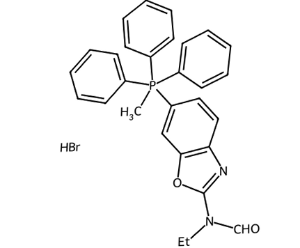 Br.CCN(C=O)c1nc2ccc(P(C)(c3ccccc3)(c3ccccc3)c3ccccc3)cc2o1